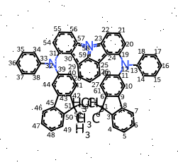 CC1(C)c2ccccc2-c2cc(N(c3ccccc3)c3cccc4c3c3cccc5c6c(N(c7ccccc7)c7ccc8c(c7)-c7ccccc7C8(C)C)cccc6n4c35)ccc21